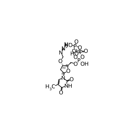 Cc1cn([C@H]2C[C@H](OCN=[N+]=[N-])[C@@H](COP(=O)(O)OP(=O)(O)OP(=O)(O)O)O2)c(=O)[nH]c1=O